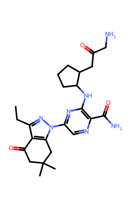 CCc1nn(-c2cnc(C(N)=O)c(NC3CCCC3CC(=O)CN)n2)c2c1C(=O)CC(C)(C)C2